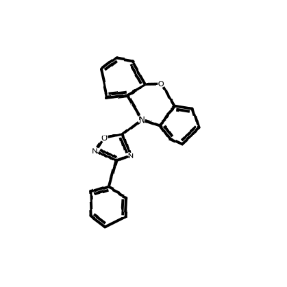 c1ccc(-c2noc(N3c4ccccc4Oc4ccccc43)n2)cc1